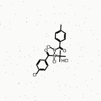 Cc1ccc(C(=O)N(Cl)[N+](Cl)(C(=O)c2ccc(Cl)cc2)C(C)(C)C)cc1.Cl